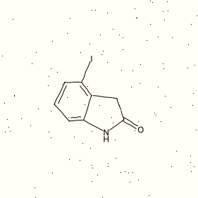 O=C1Cc2c(I)cccc2N1